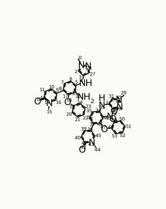 Cn1cc(Nc2ccc(-c3ccc(=O)n(C)c3)c(Oc3ccccc3)c2N)cn1.Cn1cc(Nc2ccc(-c3ccc(=O)n(C)c3)c(Oc3ccccc3)c2[N+](=O)[O-])cn1